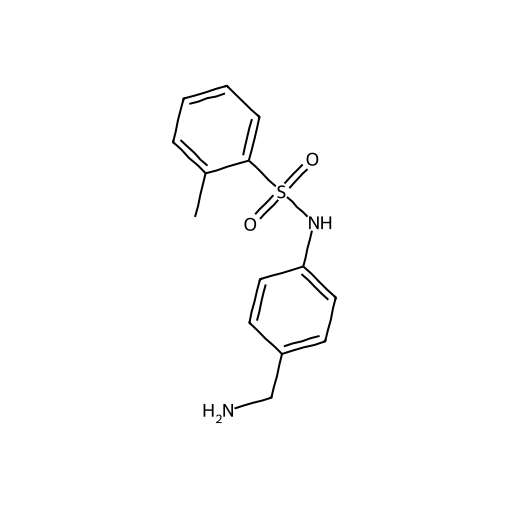 Cc1ccccc1S(=O)(=O)Nc1ccc(CN)cc1